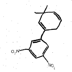 CC1(C)C=CCC(c2cc([N+](=O)[O-])cc([N+](=O)[O-])c2)=C1